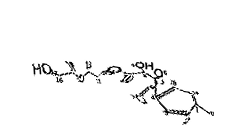 Cc1ccc(S(=O)(=O)C(O)COCCOCCO)cc1